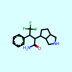 NC(=O)C(C1CCC2CNCC21)C(c1ccccc1)C(F)(F)F